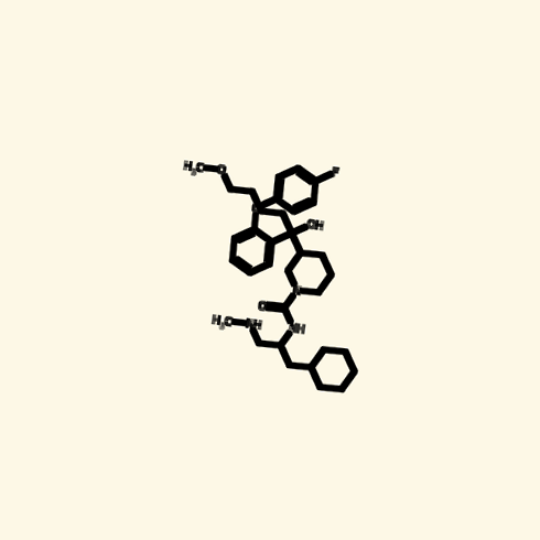 CNCC(CC1CCCCC1)NC(=O)N1CCCC(C(O)(CCCCOC)c2ccccc2Oc2ccc(F)cc2)C1